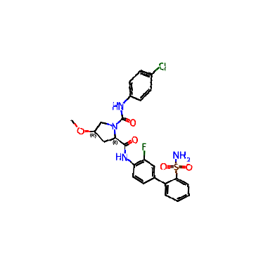 CO[C@@H]1C[C@H](C(=O)Nc2ccc(-c3ccccc3S(N)(=O)=O)cc2F)N(C(=O)Nc2ccc(Cl)cc2)C1